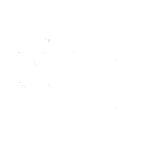 Cc1cccc(C)c1-c1ccc2c(c1)N=C(N)N(C)C2N